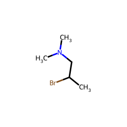 CC(Br)CN(C)C